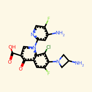 Nc1cc(-n2cc(C(=O)O)c(=O)c3cc(F)c(N4CC(N)C4)c(Cl)c32)ncc1F